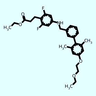 CCOCCOc1cc(C)c(-c2cccc(CNc3cc(F)c(CCC(=O)OCC)c(F)c3)c2)c(C)c1